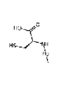 [CH3][Hg][NH][C@@H](CS)C(=O)O